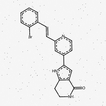 O=C1NCCc2[nH]c(-c3ccnc(/C=C/c4ccccc4Br)c3)cc21